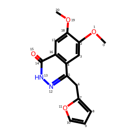 COc1cc2c(Cc3ccco3)n[nH]c(=O)c2cc1OC